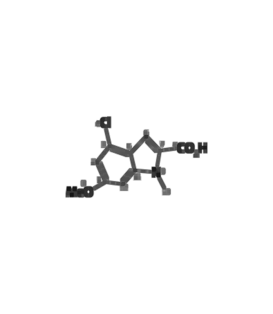 COc1cc(Cl)c2cc(C(=O)O)n(C)c2c1